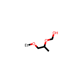 CCOCC(C)OCO